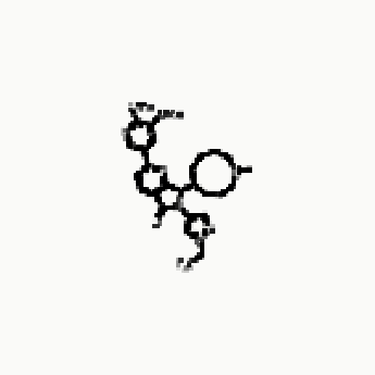 COc1cc(-c2ccc3c(n2)C(C2CCCCN(C)CCC2)N(c2cnn(CC(F)(F)F)c2)C3=O)cnc1OC